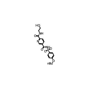 CCCCOc1ccc(S(=O)(=O)NC(=O)c2ccc(C(=O)NCCO)nc2)cc1